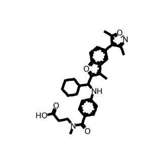 Cc1noc(C)c1-c1ccc2oc(C(Nc3ccc(C(=O)N(C)CCC(=O)O)cc3)C3CCCCC3)c(C)c2c1